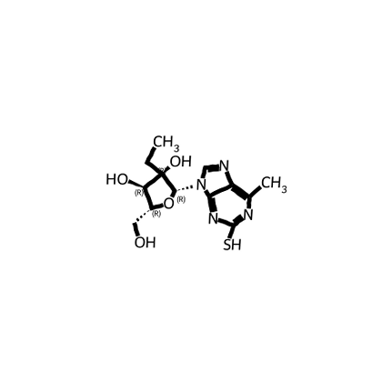 CC[C@@]1(O)[C@H](O)[C@@H](CO)O[C@H]1n1cnc2c(C)nc(S)nc21